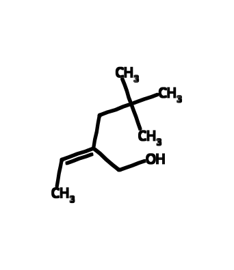 C/C=C(\CO)CC(C)(C)C